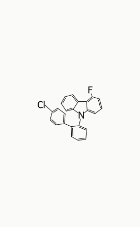 Fc1cccc2c1c1ccccc1n2-c1ccccc1-c1ccc(Cl)cc1